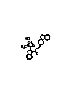 CN(C)C(=O)C1Cc2ccccc2N1C(=O)CCN1CCC2(CCc3ccccc32)CC1.Cl